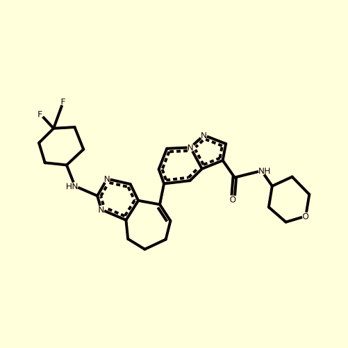 O=C(NC1CCOCC1)c1cnn2ccc(C3=CCCCc4nc(NC5CCC(F)(F)CC5)ncc43)cc12